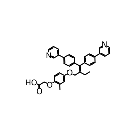 CCC(COc1ccc(OCC(=O)O)c(C)c1)=C(c1ccc(-c2cccnc2)cc1)c1ccc(-c2cccnc2)cc1